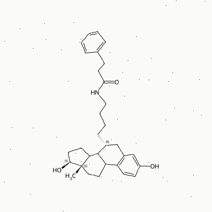 C[C@]12CCC3c4ccc(O)cc4C[C@@H](CCCCNC(=O)CCc4ccccc4)C3C1CC[C@@H]2O